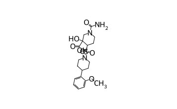 COc1ccccc1C1CCN(S(=O)(=O)C2CCN(C(N)=O)CC2(O)C(=O)O)CC1